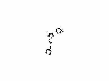 COc1c(N[C@@H]2C[C@H](C)C(C)(C)[C@H](C)[C@H]2C)cnn(CC(=O)NCc2ccncc2)c1=O